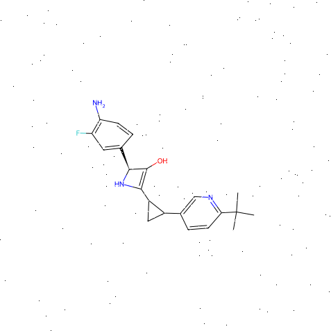 CC(C)(C)c1ccc(C2CC2C2=C(O)[C@H](c3ccc(N)c(F)c3)N2)cn1